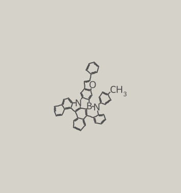 Cc1ccc(N2B3c4cc5oc(-c6ccccc6)cc5cc4-n4c5ccc6ccccc6c5c5c6ccccc6c(c3c54)-c3ccccc32)cc1